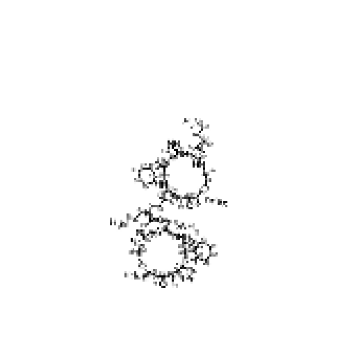 CCCCCC[C@H]1OC[C@@H](C)NC(=O)[C@H](CO[C@@H](C)CCN)NC(=O)[C@H](CN)NC(=O)[C@H](C2CCCCCC2)NC(=O)[C@H](CCCCN(CCCN)C(=O)C[C@@H]2NC(=O)[C@H](CN)NC(=O)[C@H](C3CCCCCC3)NC(=O)[C@H](CCC)N(C)C(=O)[C@H](C)[C@@H](CCCCCC)OC[C@@H](C)NC2=O)N(C)C(=O)[C@@H]1C